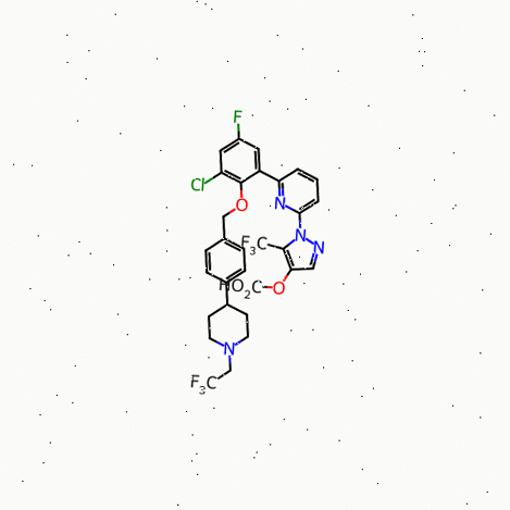 O=C(O)Oc1cnn(-c2cccc(-c3cc(F)cc(Cl)c3OCc3ccc(C4CCN(CC(F)(F)F)CC4)cc3)n2)c1C(F)(F)F